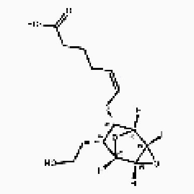 O=C(O)CCC/C=C\C[C@H]1[C@@H](CCO)[C@@H]2O[C@H]1[C@@H]1O[C@@H]12